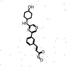 O=NC(=O)/C=C/c1cccc(-c2cncc(NC3CCC(O)CC3)n2)c1